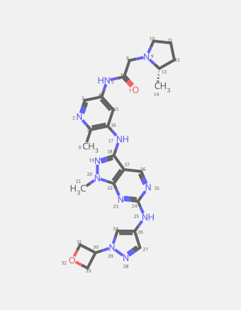 Cc1ncc(NC(=O)CN2CCC[C@@H]2C)cc1Nc1nn(C)c2nc(Nc3cnn(C4COC4)c3)ncc12